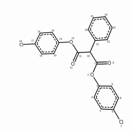 O=C(Oc1ccc(Cl)cc1)C(C(=O)Oc1ccc(Cl)cc1)c1ccccc1